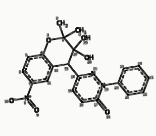 CC1(C)Oc2ccc([N+](=O)[O-])cc2C(c2ccc(=O)n(-c3ccccc3)n2)C1(O)O